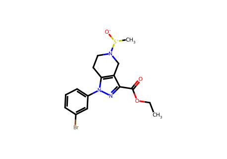 CCOC(=O)c1nn(-c2cccc(Br)c2)c2c1CN([S+](C)[O-])CC2